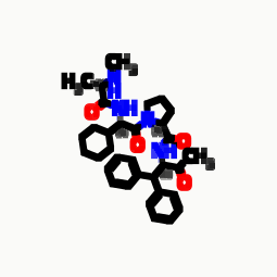 CN[C@@H](C)C(=O)N[C@H](C(=O)N1CCC[C@H]1C(=O)N[C@H](C(C)=O)C(c1ccccc1)c1ccccc1)C1CCCCC1